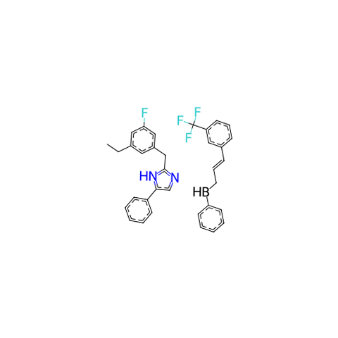 CCc1cc(F)cc(Cc2ncc(-c3ccccc3)[nH]2)c1.FC(F)(F)c1cccc(C=CCBc2ccccc2)c1